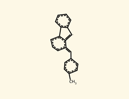 Cc1ccc(C=c2cccc3c2=[C]c2ccccc2-3)cc1